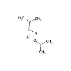 CC(C)[O][Ti][O]C(C)C.[Al]